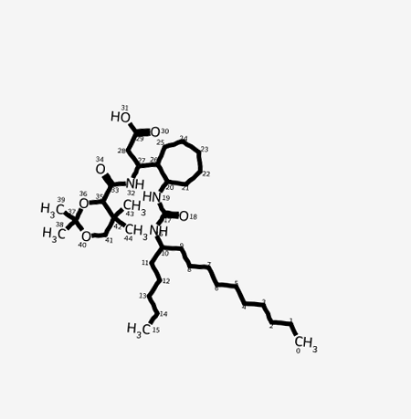 CCCCCCCCCCC(CCCCC)NC(=O)NC1CCCCCC1C(CC(=O)O)NC(=O)C1OC(C)(C)OCC1(C)C